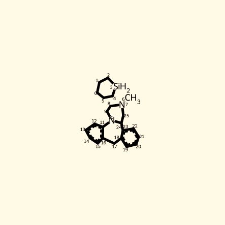 C1CC[SiH2]CC1.CN1CCN2c3ccccc3Cc3ccccc3C2C1